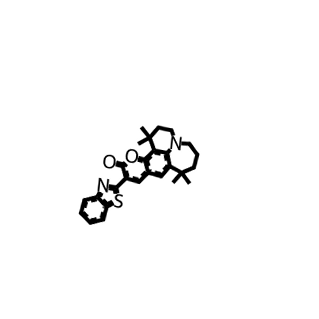 CC1(C)CCCN2CCC(C)(C)c3c2c1cc1cc(-c2nc4ccccc4s2)c(=O)oc31